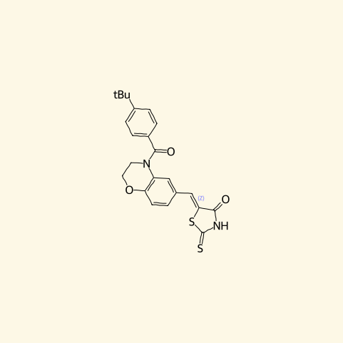 CC(C)(C)c1ccc(C(=O)N2CCOc3ccc(/C=C4\SC(=S)NC4=O)cc32)cc1